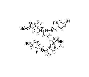 CC(C)(C)OC(=O)N1CCN(c2cccc(OCc3ccc(C#N)cc3F)n2)[C@H]2CC[C@H]21.N#Cc1ccc(COc2cccc(N3CCN[C@H]4CC[C@H]43)n2)c(F)c1